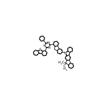 CC1(C)c2ccccc2-c2cc3c4ccccc4n(-c4ccc5c(c4)-c4cccc(-c6nc(-c7ccccc7)nc(-c7cccc8c7sc7ccccc78)n6)c4C5)c3cc21